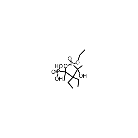 CCOP1(=O)OC(C)(P(=O)(O)O)C(CC)(CC)C1(C)O